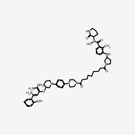 Cc1c(NC2CCN(C(=O)CCCCCCCC(=O)N3CCN(c4ccc(N5CCCC(OC(/C=C(\N)c6ccccc6O)=C(N)N)C5)cc4)CC3)C2)cccc1C(=O)N(O)C1CCCNC1=O